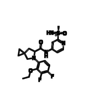 CCOc1c(N2CC3(CC3)CC2C(=O)Nc2ccnc([S@](C)(=N)=O)c2)ccc(F)c1F